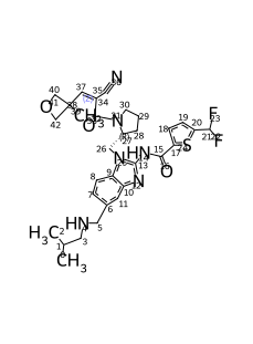 CC(C)CNCc1ccc2c(c1)nc(NC(=O)c1ccc(C(F)F)s1)n2C[C@H]1CCCN1C(=O)/C(C#N)=C\C1(C)COC1